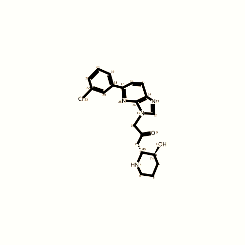 O=C(C[C@H]1NCCC[C@@H]1O)Cn1cnc2ccc(-c3cccc(Cl)c3)nc21